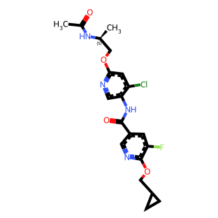 CC(=O)N[C@@H](C)COc1cc(Cl)c(NC(=O)c2cnc(OCC3CC3)c(F)c2)cn1